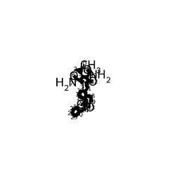 C[C@@H]1C[C@H]1c1c(C(N)=O)cn(Cc2cccc3c2ccn3S(=O)(=O)Cc2ccccc2)c(=O)c1C(N)=O